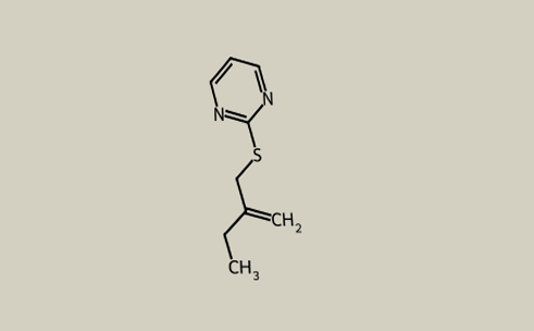 C=C(CC)CSc1ncccn1